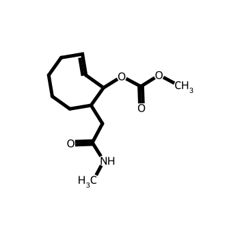 CNC(=O)CC1CCCC/C=C/C1OC(=O)OC